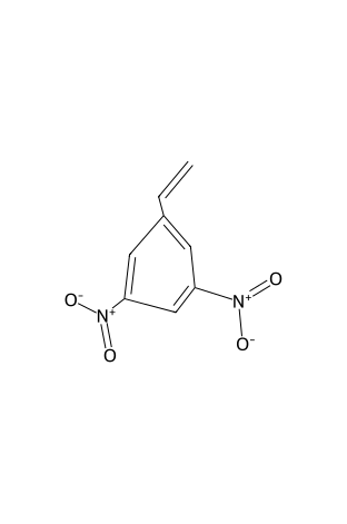 C=Cc1cc([N+](=O)[O-])cc([N+](=O)[O-])c1